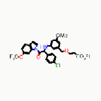 CCOC(=O)CCOCc1cc(NC(C(=O)n2ccc3ccc(OC(F)(F)F)cc32)c2ccc(Cl)cc2)cc(OC)c1